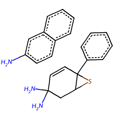 NC1(N)C=CC2(c3ccccc3)SC2C1.Nc1ccc2ccccc2c1